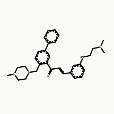 CN(C)CCNc1cccc(C=CC(=O)c2cc(-c3ccccc3)ccc2CN2CCN(C)CC2)c1